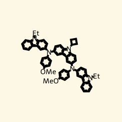 CCn1c2ccccc2c2cc(N(c3ccc(OC)cc3)c3ccc4c(c3)c3cc(N(c5ccc(OC)cc5)c5ccc6c(c5)c5ccccc5n6CC)ccc3n4C3CCC3)ccc21